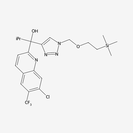 CC(C)C(O)(c1cn(COCC[Si](C)(C)C)nn1)c1ccc2cc(C(F)(F)F)c(Cl)cc2n1